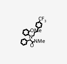 CNC(=O)[C@@H](c1ccccc1)N(CCCc1ccc(C(F)(F)F)cc1)c1ccccc1OC